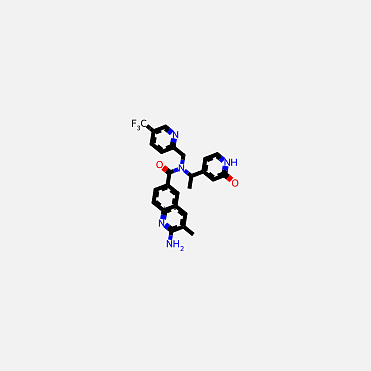 Cc1cc2cc(C(=O)N(Cc3ccc(C(F)(F)F)cn3)C(C)c3cc[nH]c(=O)c3)ccc2nc1N